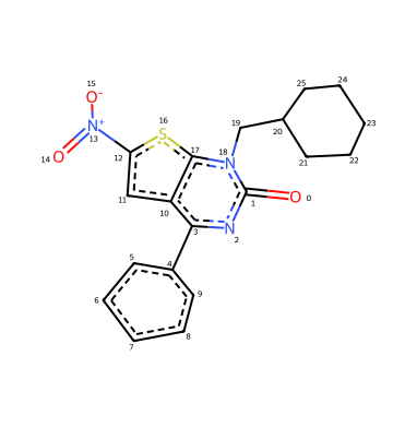 O=c1nc(-c2ccccc2)c2cc([N+](=O)[O-])sc2n1CC1CCCCC1